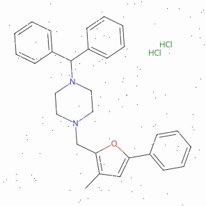 Cc1cc(-c2ccccc2)oc1CN1CCN(C(c2ccccc2)c2ccccc2)CC1.Cl.Cl